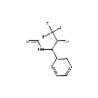 O=[C]NC(C(=O)C(F)(F)F)c1ccccc1